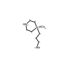 C[N+]1(CCC[NH])CCNCC1